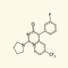 O=c1nc(N2CCCC2)n2ccc(C(F)(F)F)cc2c1-c1cccc(F)c1